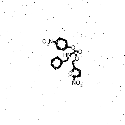 O=[N+]([O-])c1ccc(OP(=O)(NCc2ccccc2)OCc2ccc([N+](=O)[O-])o2)cc1